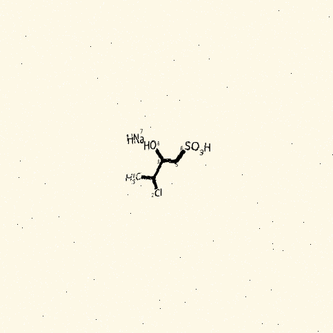 CC(Cl)C(O)CS(=O)(=O)O.[NaH]